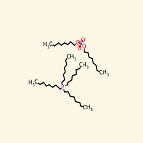 CCCCCCCCOP(=O)([O-])OCCCCCCCC.CCCCCCCC[P+](CCCCCCCC)(CCCCCCCC)CCCCCCCC